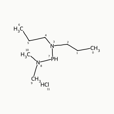 CCCN(CCC)PN(C)C.Cl